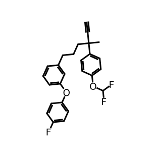 C#CC(C)(CCCc1cccc(Oc2ccc(F)cc2)c1)c1ccc(OC(F)F)cc1